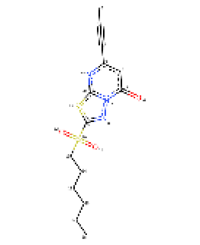 CC#Cc1cc(=O)n2nc(S(=O)(=O)CCCCCC)sc2n1